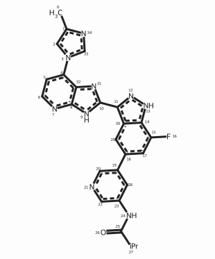 Cc1cn(-c2ccnc3[nH]c(-c4n[nH]c5c(F)cc(-c6cncc(NC(=O)C(C)C)c6)cc45)nc23)cn1